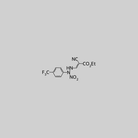 CCOC(=O)C(C#N)=CNN(c1ccc(C(F)(F)F)cc1)[N+](=O)[O-]